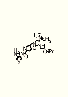 CC(C)OCCNC(=O)N(CCN(C)C)Cc1ccc(C(=O)Nc2cscc2N)nc1